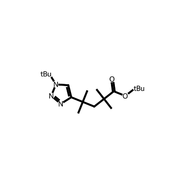 CC(C)(C)OC(=O)C(C)(C)CC(C)(C)c1cn(C(C)(C)C)nn1